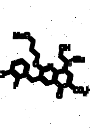 COCCCOc1nc2c(cc1Cc1cccc(Cl)c1F)c(=O)c(C(=O)O)cn2[C@H](CO)C(C)(C)C